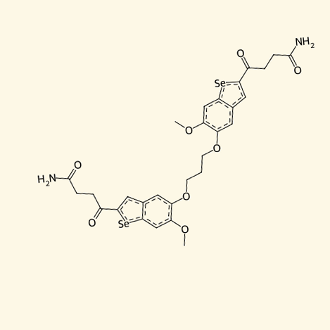 COc1cc2[se]c(C(=O)CCC(N)=O)cc2cc1OCCCOc1cc2cc(C(=O)CCC(N)=O)[se]c2cc1OC